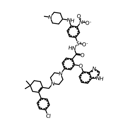 CN1CCC(Nc2ccc([S+]([O-])NC(=O)c3ccc(N4CCN(CC5=C(c6ccc(Cl)cc6)CC(C)(C)CC5)CC4)cc3Oc3cccc4[nH]cnc34)cc2[N+](=O)[O-])CC1